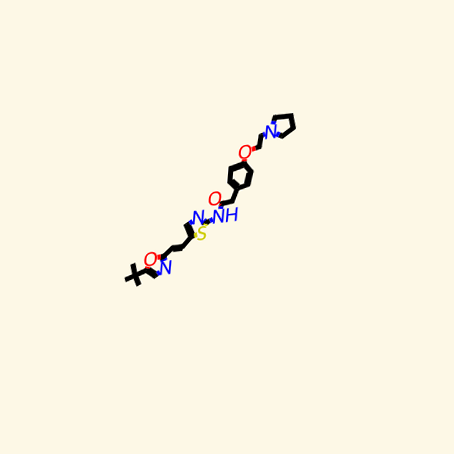 CC(C)(C)c1cnc(C=Cc2cnc(NC(=O)Cc3ccc(OCCN4CCCC4)cc3)s2)o1